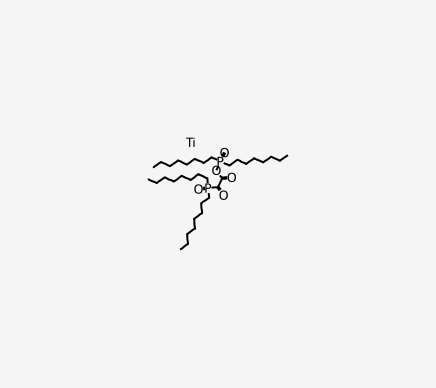 CCCCCCCCP(=O)(CCCCCCCC)OC(=O)C(=O)P(=O)(CCCCCCCC)CCCCCCCC.[Ti]